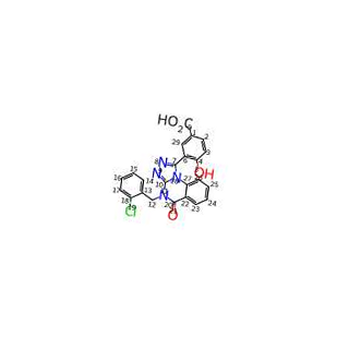 O=C(O)c1ccc(O)c(-c2nnc3n(Cc4ccccc4Cl)c(=O)c4ccccc4n23)c1